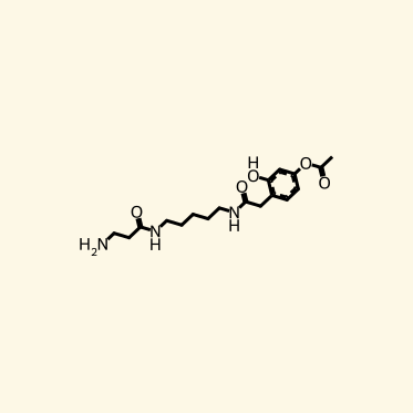 CC(=O)Oc1ccc(CC(=O)NCCCCCNC(=O)CCN)c(O)c1